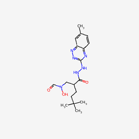 Cc1ccc2nc(NNC(=O)C(CCC(C)(C)C)CN(O)C=O)nnc2c1